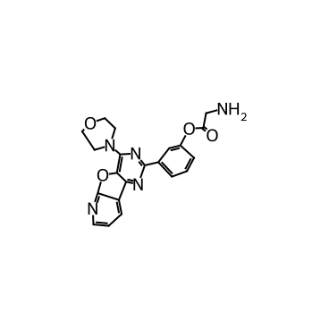 NCC(=O)Oc1cccc(-c2nc(N3CCOCC3)c3oc4ncccc4c3n2)c1